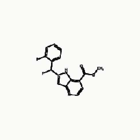 COC(=O)c1ccnc2cc(C(F)c3ccccc3F)[nH]c12